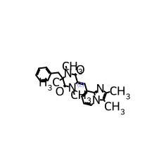 Cc1nc2c(/C=C3/C(=O)N(C)C(C)(Cc4ccccc4)C(=O)N3C)cccn2c1C